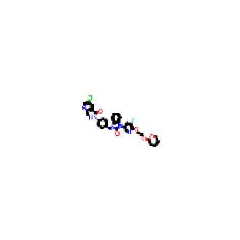 Cc1ncc(Cl)cc1C(=O)N[C@H]1CC[C@H](Cn2c(=O)n(-c3cnc(OCCOC4CCCCO4)c(F)c3)c3ccccc32)CC1